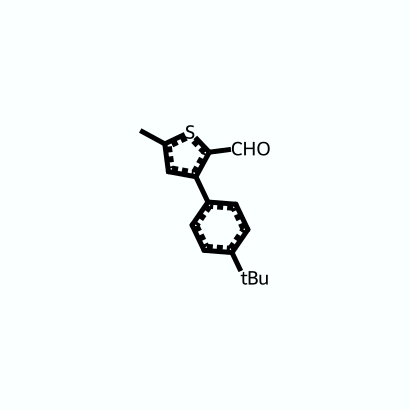 Cc1cc(-c2ccc(C(C)(C)C)cc2)c(C=O)s1